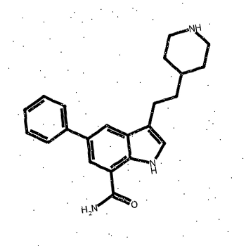 NC(=O)c1cc(-c2ccccc2)cc2c(CCC3CCNCC3)c[nH]c12